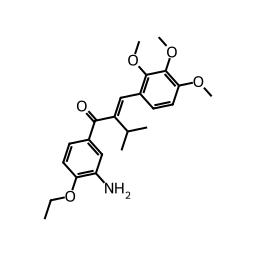 CCOc1ccc(C(=O)/C(=C/c2ccc(OC)c(OC)c2OC)C(C)C)cc1N